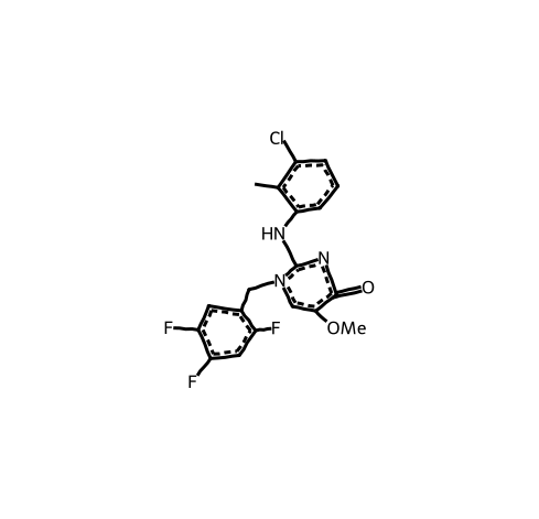 COc1cn(Cc2cc(F)c(F)cc2F)c(Nc2cccc(Cl)c2C)nc1=O